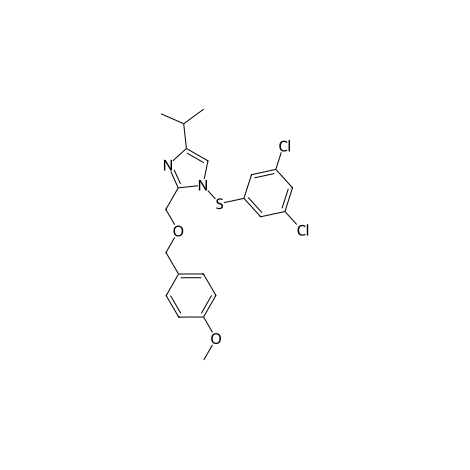 COc1ccc(COCc2nc(C(C)C)cn2Sc2cc(Cl)cc(Cl)c2)cc1